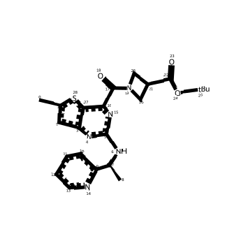 Cc1cc2nc(N[C@@H](C)c3ccccn3)nc(C(=O)N3CC(C(=O)OC(C)(C)C)C3)c2s1